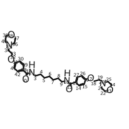 O=C(NCCCCCCCNC(=O)c1ccc(OCCN2CCOCC2)cc1)c1ccc(OCCN2CCOCC2)cc1